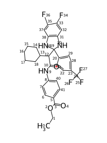 CCOC(=O)c1ccc(NC(=O)C(C2CCCCC2)C2(c3ccc(C(F)(F)F)cc3)Nc3cc(F)c(F)cc3N2)cc1